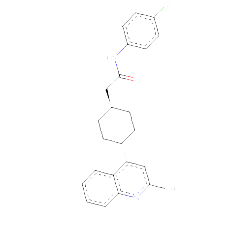 Cc1cc([C@H]2CC[C@H](CC(=O)Nc3ccc(Cl)cc3)CC2)c2ccccc2n1